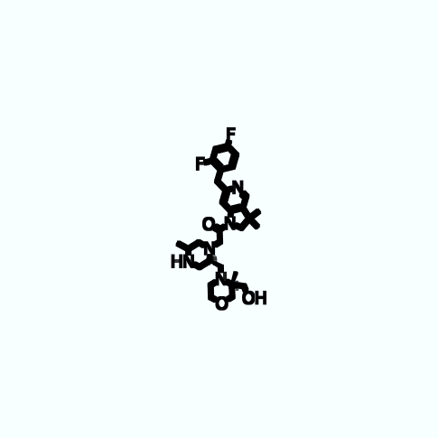 CC1CN(CC(=O)N2CC(C)(C)c3cnc(Cc4ccc(F)cc4F)cc32)[C@@H](CN2CCOC[C@@]2(C)CO)CN1